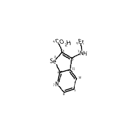 CCNc1c(C(=O)O)[se]c2ncccc12